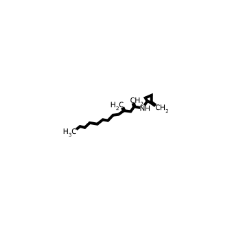 C=C(CCCCCCCCC)CC(=C)NC1CCC1=C